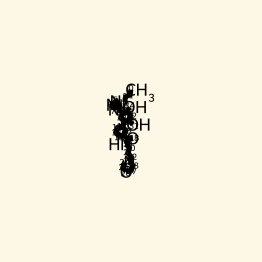 CCCCn1nnnc1-c1cc(-c2cccc(C(=O)NCCCN3CCOCC3)c2)c(O)cc1O